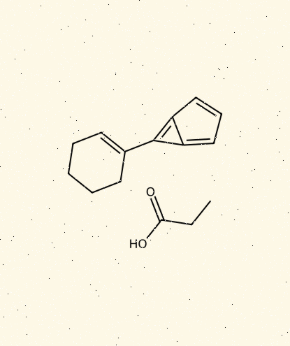 C1=C(c2c3cccc2-3)CCCC1.CCC(=O)O